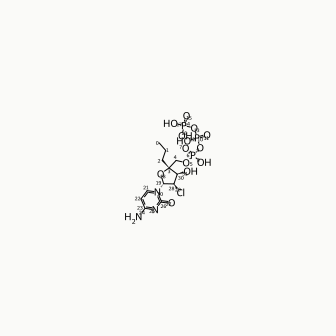 CCC[C@]1(COP(=O)(O)OP(=O)(O)OP(=O)(O)O)O[C@@H](n2ccc(N)nc2=O)[C@H](Cl)[C@@H]1O